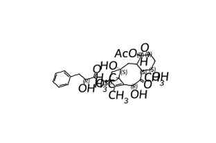 CC(=O)O[C@@]12O[C@@H]1C[C@H](O)[C@@]1(C)C(=O)[C@H](O)C3=C(C)[C@@H](OC(=O)[C@H](O)Cc4ccccc4)C[C@@](O)(CC21)C3(C)C